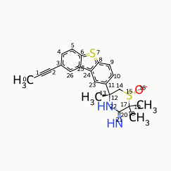 CC#Cc1ccc2sc3ccc([C@]4(C)C[S+]([O-])C(C)(C)C(=N)N4)cc3c2c1